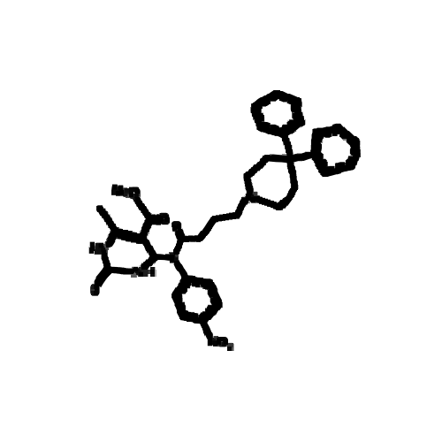 COC(=O)C1=C(C)NC(=O)NC1N(C(=O)CCCN1CCC(c2ccccc2)(c2ccccc2)CC1)c1ccc([N+](=O)[O-])cc1